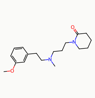 COc1cccc(CCN(C)CCCN2CCCCC2=O)c1